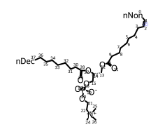 CCCCCCCCC/C=C\CCCCCCCC(=O)OC[C@H](COP(=O)([O-])OCC[N+](C)(C)C)OC(=O)CCCCCCCCCCCCCCCCC